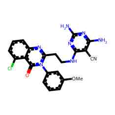 COc1cccc(-n2c(CCNc3nc(N)nc(N)c3C#N)nc3cccc(Cl)c3c2=O)c1